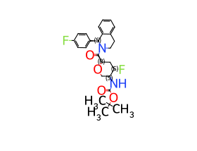 CC(C)(C)OC(=O)N[C@H]1CO[C@@H](C(=O)N2CCc3ccccc3[C@@H]2c2ccc(F)cc2)C[C@@H]1F